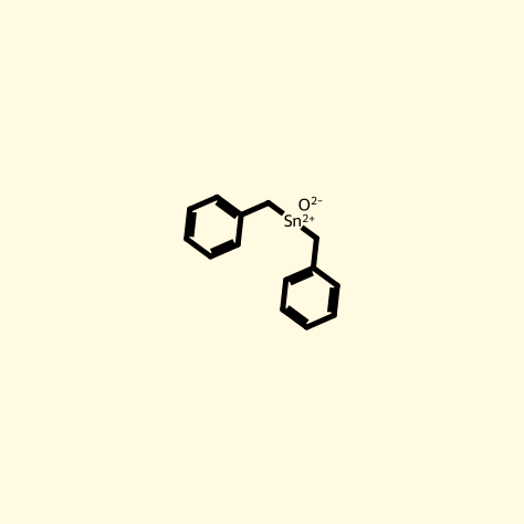 [O-2].c1ccc([CH2][Sn+2][CH2]c2ccccc2)cc1